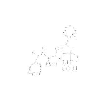 CCCCC(CC1(CSc2ncccn2)CCC1)(NC(=O)O)C(O)C(=O)N[C@H](C)c1ccccc1